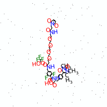 Cc1c(-c2ccc(C[C@H](NC(=O)c3c(F)cc(CNC(=O)CCOCCOCCOCCOCCNC(=O)CCN4C(=O)C=CC4=O)cc3F)C(=O)O)cc2)c(=O)n(C)c(=O)n1C.O=C(O)C(F)(F)F